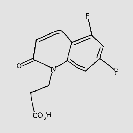 O=C(O)CCn1c(=O)ccc2c(F)cc(F)cc21